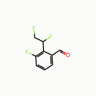 O=Cc1cccc(F)c1C(F)CF